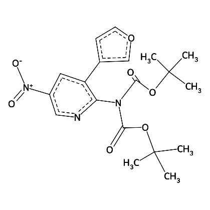 CC(C)(C)OC(=O)N(C(=O)OC(C)(C)C)c1ncc([N+](=O)[O-])cc1-c1ccoc1